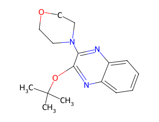 CC(C)(C)Oc1nc2ccccc2nc1N1CCOCC1